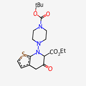 CCOC(=O)C1C(=O)Cc2ccsc2N1N1CCN(C(=O)OC(C)(C)C)CC1